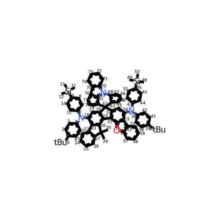 CC(C)(C)c1ccc(N(c2ccc([Si](C)(C)C)cc2)c2cc3c(c4c2-c2ccccc2C4(C)C)-c2c(cc(N(c4ccc(C(C)(C)C)cc4)c4ccc([Si](C)(C)C)cc4)c4c2oc2ccccc24)C32c3ccccc3-n3c4ccccc4c4cccc2c43)cc1